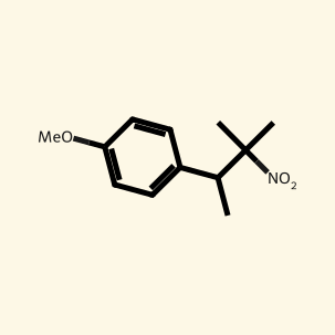 COc1ccc(C(C)C(C)(C)[N+](=O)[O-])cc1